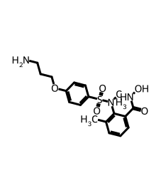 Cc1cccc(C(=O)NO)c1N(C)S(=O)(=O)c1ccc(OCCCN)cc1